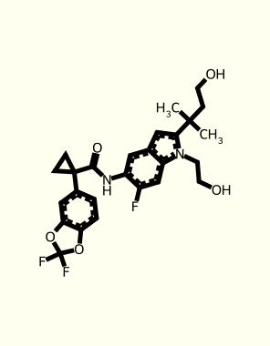 CC(C)(CCO)c1cc2cc(NC(=O)C3(c4ccc5c(c4)OC(F)(F)O5)CC3)c(F)cc2n1CCO